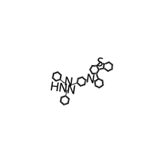 c1ccc(C2=NC(c3ccc(-n4c5ccccc5c5c6c(ccc54)sc4ccccc46)cc3)=NC(c3ccccc3)N2)cc1